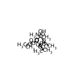 CC(C)COC(=O)Oc1ccc(C(C(C)COC(=O)CC(C)C)[C@H](N)C(=O)O)cc1OC(=O)OCC(C)C